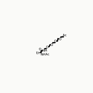 CC[C@H](NC(C)=O)C(=O)NCCOCCOCCOCCOCCC(C)=O